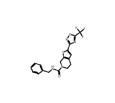 O=C(NCc1ccccc1)N1CCc2cc(-c3noc(C(F)(F)F)n3)sc2C1